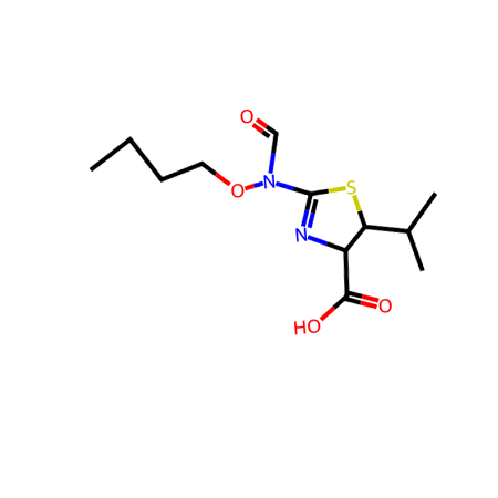 CCCCON(C=O)C1=NC(C(=O)O)C(C(C)C)S1